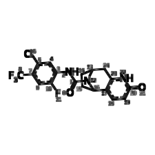 O=C(Nc1cc(Cl)c(C(F)(F)F)cc1F)N1C2CCC1c1ccc(=O)[nH]c1C2